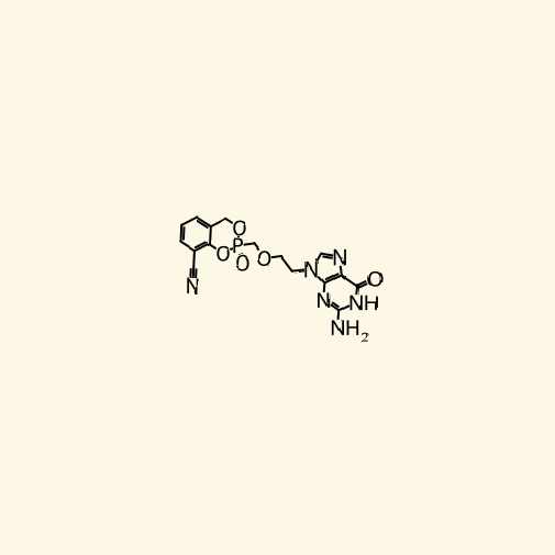 N#Cc1cccc2c1OP(=O)(COCCn1cnc3c(=O)[nH]c(N)nc31)OC2